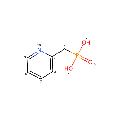 O=P(O)(O)Cc1ccccn1